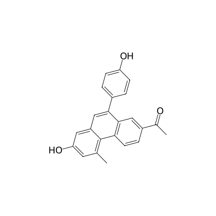 CC(=O)c1ccc2c(c1)c(-c1ccc(O)cc1)cc1cc(O)cc(C)c12